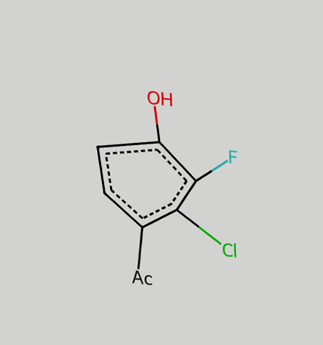 CC(=O)c1ccc(O)c(F)c1Cl